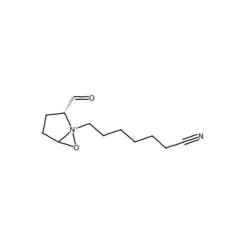 N#CCCCCCC[N+]12OC1CC[C@@H]2C=O